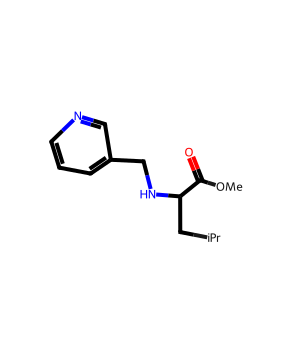 COC(=O)C(CC(C)C)NCc1cccnc1